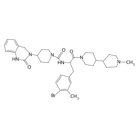 Cc1cc(CC(NC(=O)N2CCC(N3Cc4ccccc4NC3=O)CC2)C(=O)N2CCC(C3CCN(C)CC3)CC2)ccc1Br